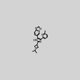 Cc1cccc(-c2nc(C3CN(C(C)C)C3)[nH]c2-c2ccc3ncnn3c2)n1